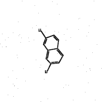 [Li][c]1ccc2cc[c]([Li])cc2c1